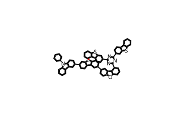 c1ccc(-n2c3ccccc3c3cc(-c4ccc5c(c4)sc4ccc(-c6ccc7oc8cccc(-c9nc(-c%10ccc%11c(c%10)sc%10ccccc%10%11)nc(-c%10ccc%11c(c%10)sc%10ccccc%10%11)n9)c8c7c6)cc45)ccc32)cc1